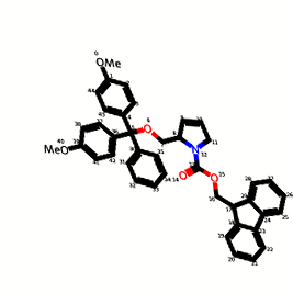 COc1ccc(C(OCC2C=CCN2C(=O)OCC2c3ccccc3-c3ccccc32)(c2ccccc2)c2ccc(OC)cc2)cc1